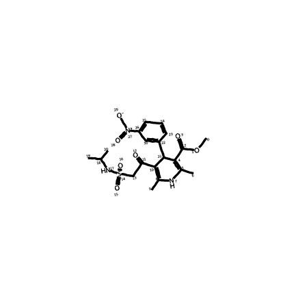 COC(=O)C1=C(C)NC(C)=C(C(=O)CS(=O)(=O)NC(C)C)C1c1cccc([N+](=O)[O-])c1